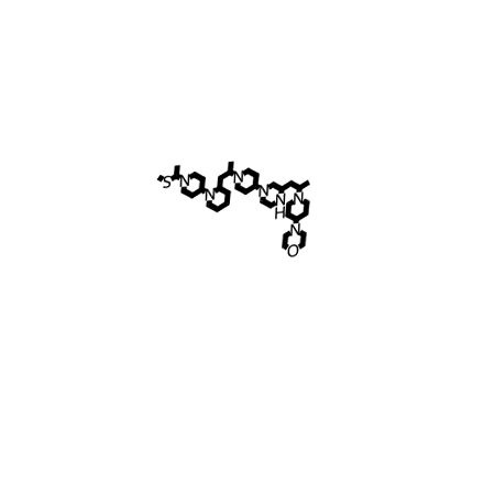 CSC(C)N1CCC(N2CCCCC2CC(C)N2CCC(N3CCNC(CC(C)N4CCC(N5CCOCC5)CC4)C3)CC2)CC1